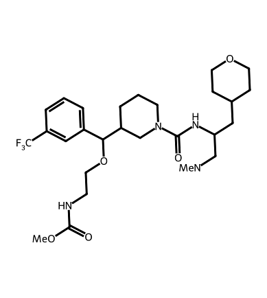 CNCC(CC1CCOCC1)NC(=O)N1CCCC(C(OCCNC(=O)OC)c2cccc(C(F)(F)F)c2)C1